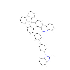 CCc1nc2ccccc2n1-c1ccc(-c2cccc(-c3nc4ccccc4c4ccc5c(c34)-c3ccccc3C5(c3ccccc3)c3ccccc3)c2)cc1